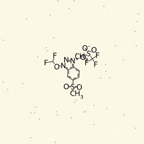 C[n+]1nn(OC(F)F)c2cc(S(C)(=O)=O)ccc21.O=S(=O)([O-])C(F)(F)F